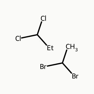 CC(Br)Br.CCC(Cl)Cl